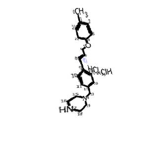 Cc1ccc(OC/C=C/c2ccc(CN3CCNCC3)cc2)cc1.Cl.Cl